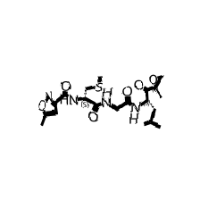 CSC[C@@H](NC(=O)c1cc(C)on1)C(=O)NCC(=O)N[C@@H](CC(C)C)C(=O)[C@@]1(C)CO1